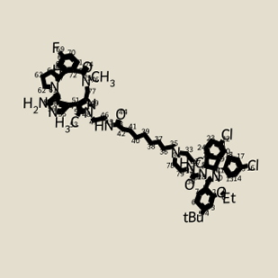 CCOc1cc(C(C)(C)C)ccc1C1=N[C@]2(c3ccc(Cl)cc3)c3cc(Cl)ccc3[C@@]2(C)N1C(=O)N1CCN(CCCCCCCCC(=O)NCCn2nc3c(c2C)-c2cnc(N)c(c2)N2CCC[C@@H]2c2cc(F)ccc2C(=O)N(C)C3)CC1